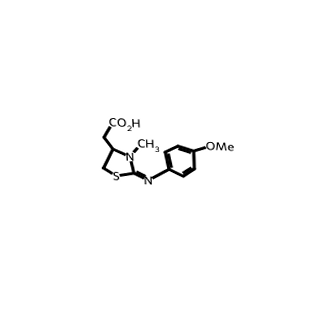 COc1ccc(N=C2SCC(CC(=O)O)N2C)cc1